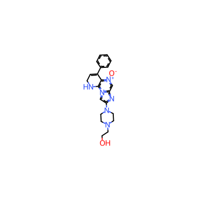 [O-][n+]1cc2nc(N3CCN(CCO)CC3)cn2c2c1C(c1ccccc1)=CCN2